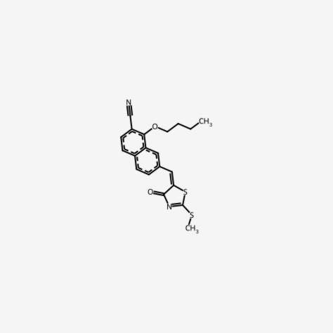 CCCCOc1c(C#N)ccc2ccc(C=C3SC(SC)=NC3=O)cc12